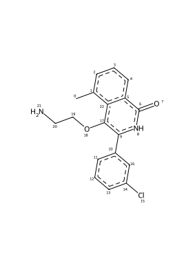 Cc1cccc2c(=O)[nH]c(-c3cccc(Cl)c3)c(OCCN)c12